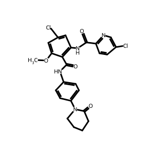 COc1cc(Cl)cc(NC(=O)c2ccc(Cl)cn2)c1C(=O)Nc1ccc(N2CCCCC2=O)cc1